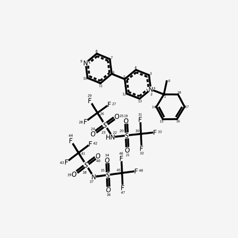 CC1([n+]2ccc(-c3ccncc3)cc2)C=CC=CC1.O=S(=O)(NS(=O)(=O)C(F)(F)F)C(F)(F)F.O=S(=O)([N-]S(=O)(=O)C(F)(F)F)C(F)(F)F